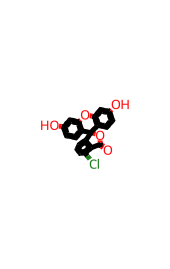 O=C1OC2(c3ccc(O)cc3Oc3cc(O)ccc32)c2cccc(Cl)c21